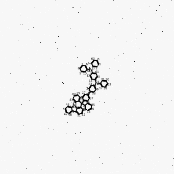 c1ccc(N(c2ccccc2)c2ccc(N(c3ccccc3)c3ccc(-c4ccc(C5(c6ccccc6)c6ccccc6-n6c7ccccc7c7cccc5c76)cc4)cc3)cc2)cc1